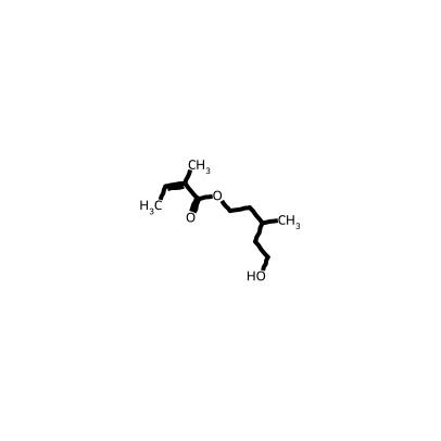 CC=C(C)C(=O)OCCC(C)CCO